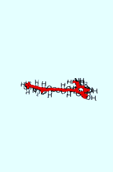 N=C(N)NCCC[C@@H]1NC(=O)[C@H](CCCCNC(=O)CCC(=O)NCCOCCOCCNC(=O)CCC(=O)N[C@@H](CCCCNC(=O)CCCC[C@@H]2SC[C@@H]3NC(=O)N[C@@H]32)C(N)=O)NC(=O)[C@@H](Cc2ccc(O)cc2)NC(=O)[C@H](CC(=O)O)NC(=O)CNC1=O